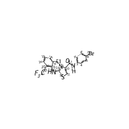 O=C(Nc1ccc(Br)cc1)c1csc(Nc2c(Cl)cccc2C(F)(F)F)n1